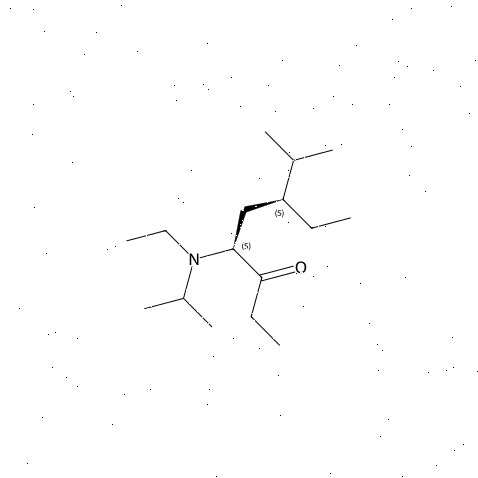 CCC(=O)[C@H](C[C@H](CC)C(C)C)N(CC)C(C)C